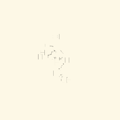 C[C@]12CCCCC1CC[C@@H]1[C@@H]2CC[C@@]2(C)[C@H]1C=C[C@]2(O)C(=O)CO